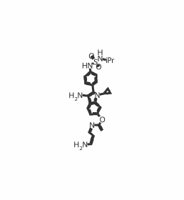 C=C(/N=C\C=C/N)Oc1ccc2c(N)c(-c3ccc(NS(=O)(=O)NC(C)C)cc3)n(C3CC3)c2c1